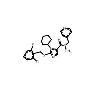 CN(Cc1ccncc1)C(=O)c1cnc(SCc2c(F)cccc2Cl)n1C1CCCCC1